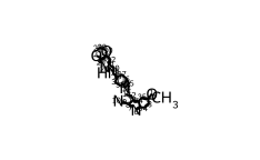 COc1ccc2ncc(C#N)c(CCN3CC4CC(NCc5cc6c(cn5)OCCO6)CC3C4)c2c1